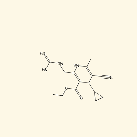 CCOC(=O)C1=C(CNC(=N)S)NC(C)=C(C#N)C1C1CC1